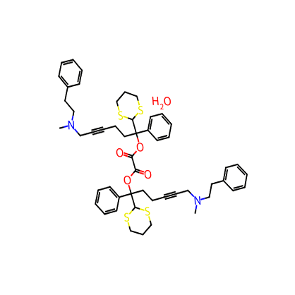 CN(CC#CCCC(OC(=O)C(=O)OC(CCC#CCN(C)CCc1ccccc1)(c1ccccc1)C1SCCCS1)(c1ccccc1)C1SCCCS1)CCc1ccccc1.O